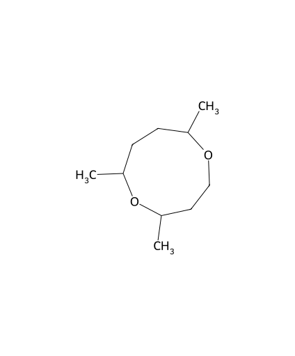 CC1CCC(C)OC(C)CCO1